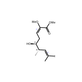 COC(=O)/C(=C\C[C@H](O)[C@@H](C)/C=C(\C)I)OC